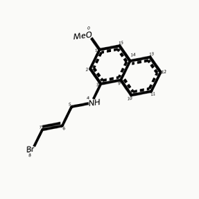 COc1cc(NCC=CBr)c2ccccc2c1